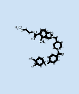 COCCNC(=O)c1ccc2nn(CC3CCN(C(=O)c4ccc(Oc5ccc(F)c(F)c5)cc4)CC3)cc2c1C